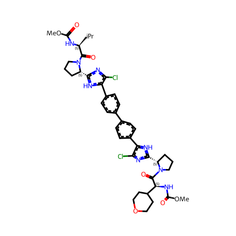 COC(=O)N[C@H](C(=O)N1CCC[C@H]1c1nc(Cl)c(-c2ccc(-c3ccc(-c4[nH]c([C@@H]5CCCN5C(=O)[C@@H](NC(=O)OC)C5CCOCC5)nc4Cl)cc3)cc2)[nH]1)C(C)C